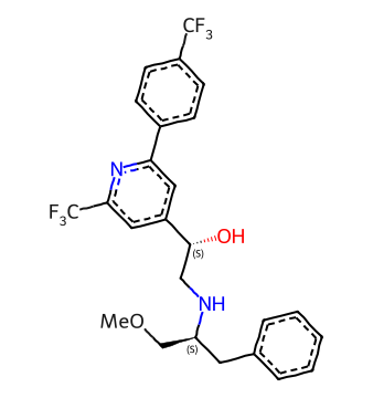 COC[C@H](Cc1ccccc1)NC[C@@H](O)c1cc(-c2ccc(C(F)(F)F)cc2)nc(C(F)(F)F)c1